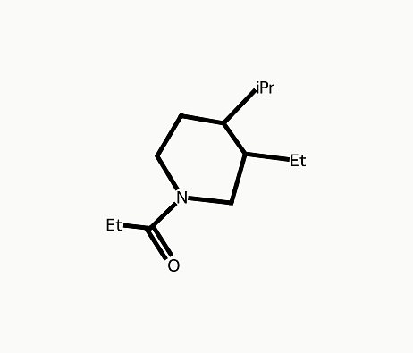 CCC(=O)N1CCC(C(C)C)C(CC)C1